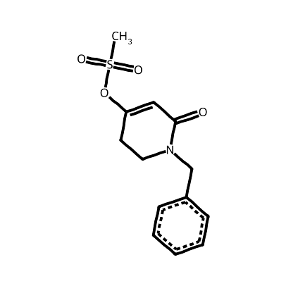 CS(=O)(=O)OC1=CC(=O)N(Cc2ccccc2)CC1